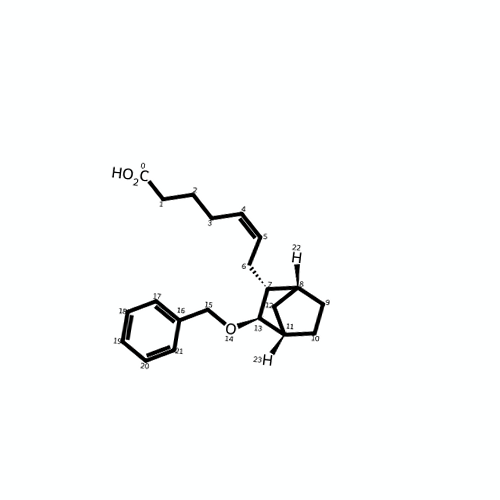 O=C(O)CCC/C=C\C[C@@H]1[C@@H]2CC[C@@H](C2)[C@H]1OCc1ccccc1